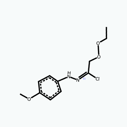 CCOOC/C(Cl)=N\Nc1ccc(OC)cc1